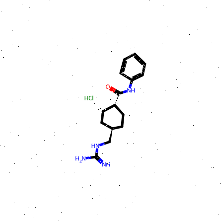 Cl.N=C(N)NC[C@H]1CC[C@H](C(=O)Nc2ccccc2)CC1